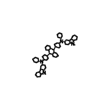 Cn1c2ccccc2c2cc(N(c3ccccc3)c3ccc(-c4c5ccccc5c(-c5ccc(N(c6ccccc6)c6ccc7c(c6)c6ccccc6n7C)cc5)c5ccccc45)cc3)ccc21